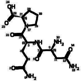 NC(=O)CC[C@H](NC(=O)[C@@H](N)CC(N)=O)C(=O)N1CCC[C@H]1C(=O)O